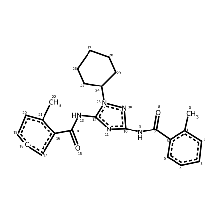 Cc1ccccc1C(=O)Nc1nc(NC(=O)c2ccccc2C)n(C2CCCCC2)n1